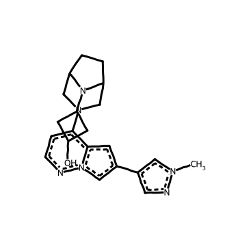 Cn1cc(-c2cc3c(N4CC5CCC(C4)N5C4CC(O)C4)ccnn3c2)cn1